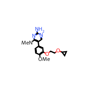 CNc1nc(N)ncc1-c1ccc(OC)c(OCCOC2CC2)c1